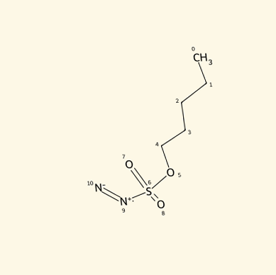 CCCCCOS(=O)(=O)[N+]=[N-]